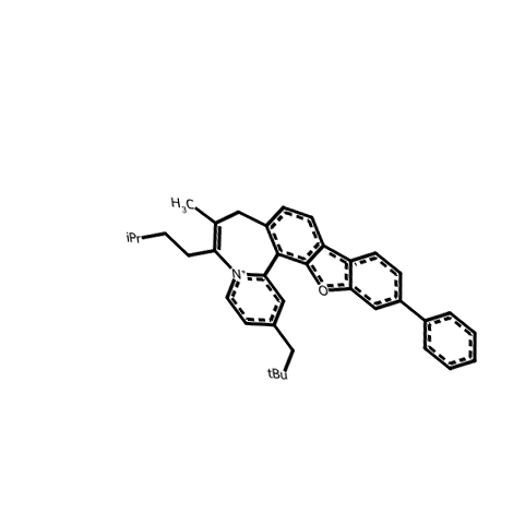 CC1=C(CCC(C)C)[n+]2ccc(CC(C)(C)C)cc2-c2c(ccc3c2oc2cc(-c4ccccc4)ccc23)C1